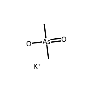 C[As](C)(=O)[O-].[K+]